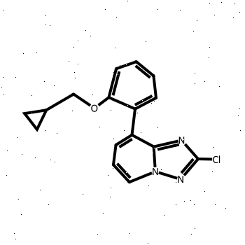 Clc1nc2c(-c3ccccc3OCC3CC3)cccn2n1